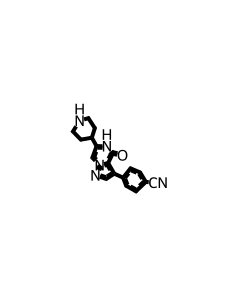 N#Cc1ccc(-c2cnn3cc(C4CCNCC4)[nH]c(=O)c23)cc1